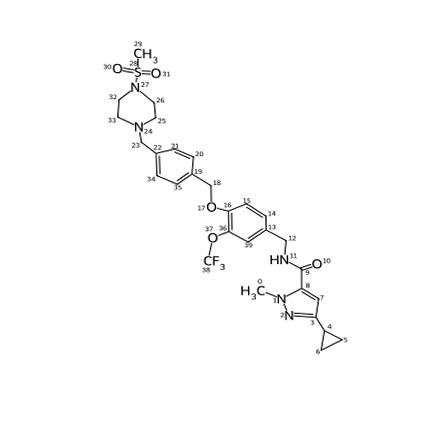 Cn1nc(C2CC2)cc1C(=O)NCc1ccc(OCc2ccc(CN3CCN(S(C)(=O)=O)CC3)cc2)c(OC(F)(F)F)c1